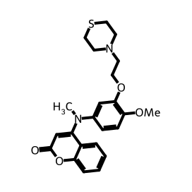 COc1ccc(N(C)c2cc(=O)oc3ccccc23)cc1OCCN1CCSCC1